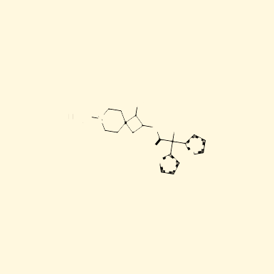 CC(C)(C)C1C(OC(=O)C(O)(c2cccs2)c2cccs2)CC12CCN(C(=O)O)CC2